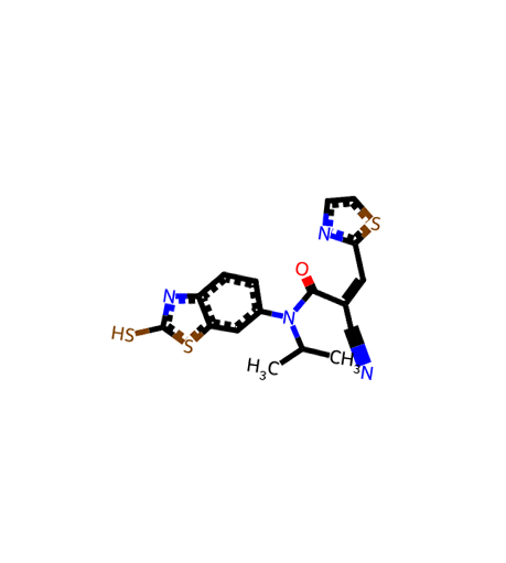 CC(C)N(C(=O)/C(C#N)=C\c1nccs1)c1ccc2nc(S)sc2c1